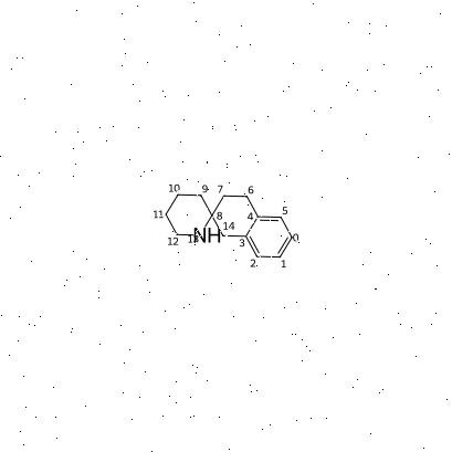 c1ccc2c(c1)CCC1(CCCCN1)C2